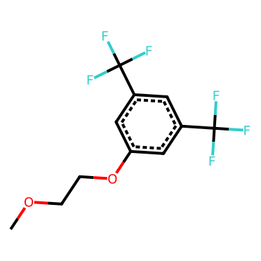 COCCOc1cc(C(F)(F)F)cc(C(F)(F)F)c1